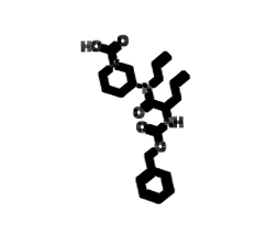 C=CCC(NC(=O)OCc1ccccc1)C(=O)N(CC=C)[C@@H]1CCCN(C(=O)O)C1